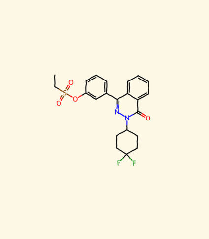 CCS(=O)(=O)Oc1cccc(-c2nn(C3CCC(F)(F)CC3)c(=O)c3ccccc23)c1